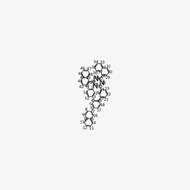 c1ccc(-c2cc(-c3ccc4ccccc4c3)ccc2-c2cccc(-c3nc(-c4cccc5ccccc45)nc(-c4cccc5ccccc45)n3)c2)cc1